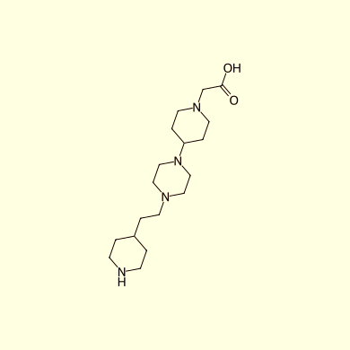 O=C(O)CN1CCC(N2CCN(CCC3CCNCC3)CC2)CC1